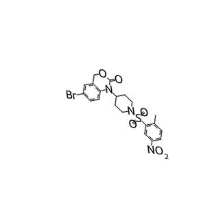 Cc1ccc([N+](=O)[O-])cc1S(=O)(=O)N1CCC(N2C(=O)OCc3cc(Br)ccc32)CC1